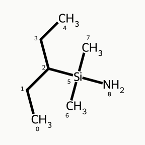 CCC(CC)[Si](C)(C)N